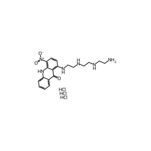 Cl.Cl.Cl.NCCNCCNCCNc1ccc([N+](=O)[O-])c2[nH]c3ccccc3c(=O)c12